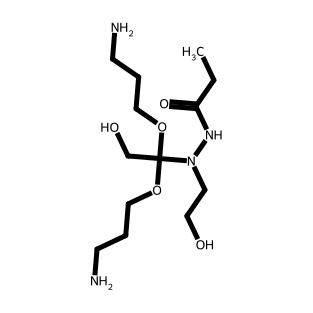 CCC(=O)NN(CCO)C(CO)(OCCCN)OCCCN